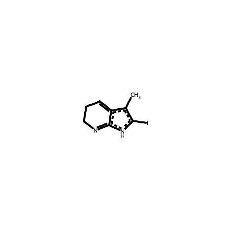 Cc1c(I)[nH]c2c1=CCCN=2